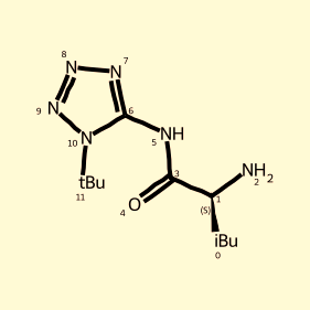 CCC(C)[C@H](N)C(=O)Nc1nnnn1C(C)(C)C